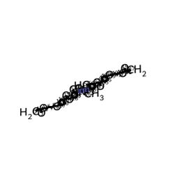 C=CC(=O)OCCCCOc1ccc(C(=O)Oc2ccc(/C(C)=N/N=C(\C)c3ccc(OC(=O)c4ccc(OCCCCOC(=O)C=C)cc4)cc3O)c(O)c2)cc1